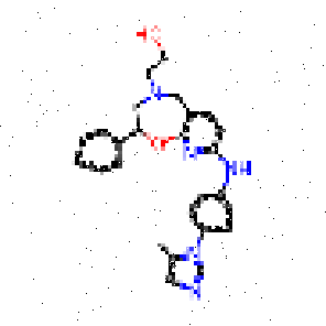 Cc1cncn1-c1ccc(Nc2ccc3c(n2)OC(c2ccccc2)CN(CCO)C3)cc1